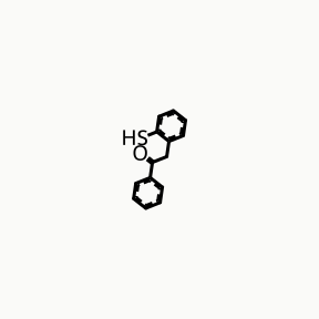 O=C(Cc1ccccc1S)c1ccccc1